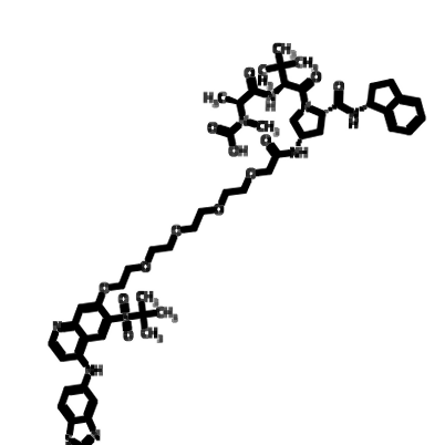 C[C@@H](C(=O)N[C@H](C(=O)N1C[C@@H](NC(=O)COCCOCCOCCOCCOc2cc3nccc(Nc4ccc5scnc5c4)c3cc2S(=O)(=O)C(C)(C)C)C[C@H]1C(=O)N[C@@H]1CCc2ccccc21)C(C)(C)C)N(C)C(=O)O